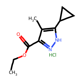 CCOC(=O)c1n[nH]c(C2CC2)c1C.Cl